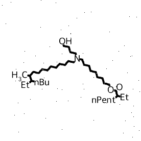 CCCCCC(CC)C(=O)OCCCCCCCCCN(CCCCO)CCCCCCCCCCC(C)C(CC)CCCC